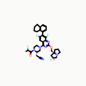 CC(F)C(=O)N1CCN(c2nc(OC[C@@]34CCCN3C[C@H](F)C4)nc3c(F)c(-c4cccc5c4CCCC5)c(F)cc23)C[C@@H]1CC#N